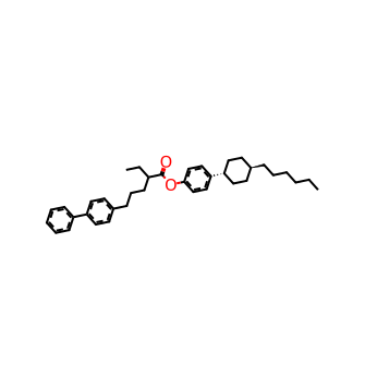 CCCCCC[C@H]1CC[C@H](c2ccc(OC(=O)C(CC)CCCc3ccc(-c4ccccc4)cc3)cc2)CC1